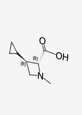 CN1C[C@@H](C2CC2)[C@@H]1C(=O)O